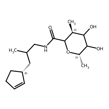 CC(CNC(=O)C1O[C@@H](C)C(O)C(O)[C@@H]1C)C[C@@H]1C=CCC1